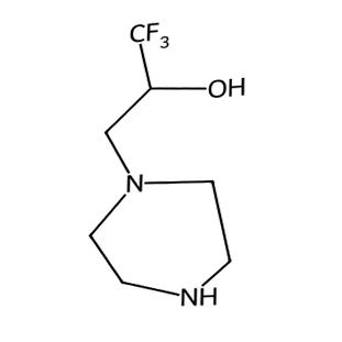 OC(CN1CCNCC1)C(F)(F)F